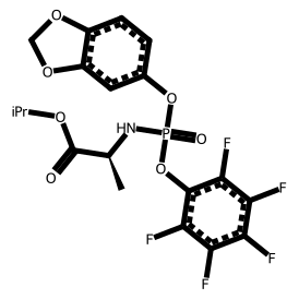 CC(C)OC(=O)[C@H](C)NP(=O)(Oc1ccc2c(c1)OCO2)Oc1c(F)c(F)c(F)c(F)c1F